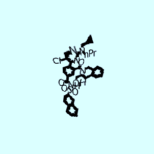 CCCN(CC1CC1)c1ncc(Cl)c(-c2ccc(C(=O)NS(=O)(=O)c3ccc4ccccc4c3)cc2C(=O)N2Cc3ccccc3CC2CO)n1